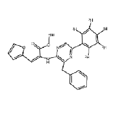 [2H]c1c([2H])c([2H])c(-c2cnc(NC(=Cc3ccco3)C(=O)OC(C)(C)C)c(Cc3ccccc3)n2)c([2H])c1[2H]